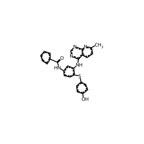 Cc1ccc2c(Nc3cc(NC(=O)c4ccccc4)ccc3Sc3ccc(O)cc3)ncnc2n1